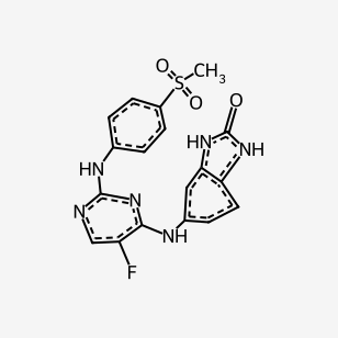 CS(=O)(=O)c1ccc(Nc2ncc(F)c(Nc3ccc4[nH]c(=O)[nH]c4c3)n2)cc1